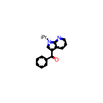 CC(C)n1cc(C(=O)c2ccccc2)c2cccnc21